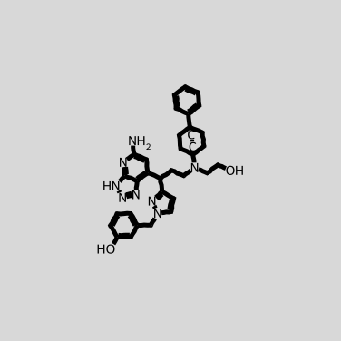 Nc1cc(C(CCN(CCO)C23CCC(c4ccccc4)(CC2)CC3)c2ccn(Cc3cccc(O)c3)n2)c2nn[nH]c2n1